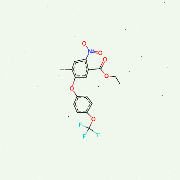 CCOC(=O)c1cc(Oc2ccc(OC(F)(F)F)cc2)c(C)cc1[N+](=O)[O-]